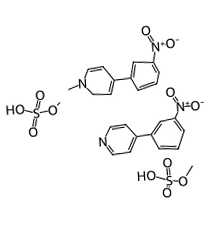 CN1C=CC(c2cccc([N+](=O)[O-])c2)=CC1.COS(=O)(=O)O.COS(=O)(=O)O.O=[N+]([O-])c1cccc(-c2ccncc2)c1